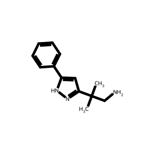 CC(C)(CN)c1cc(-c2ccccc2)[nH]n1